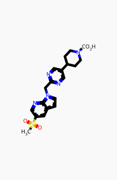 CS(=O)(=O)c1cnc2c(ccn2Cc2ncc(C3CCN(C(=O)O)CC3)cn2)c1